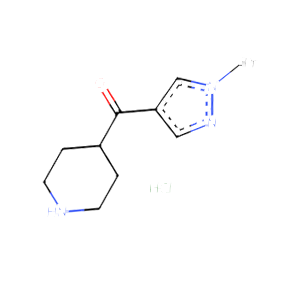 CC(C)n1cc(C(=O)C2CCNCC2)cn1.Cl